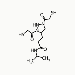 CC(C)NC(=O)CCC1CN(C(=O)CS)NN1C(=O)CS